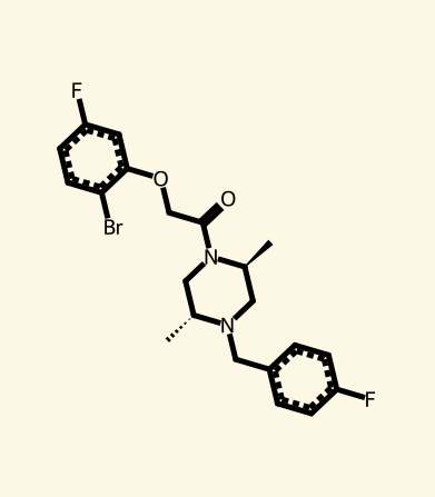 C[C@@H]1CN(C(=O)COc2cc(F)ccc2Br)[C@@H](C)CN1Cc1ccc(F)cc1